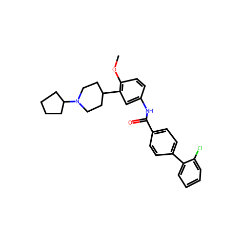 COc1ccc(NC(=O)c2ccc(-c3ccccc3Cl)cc2)cc1C1CCN(C2CCCC2)CC1